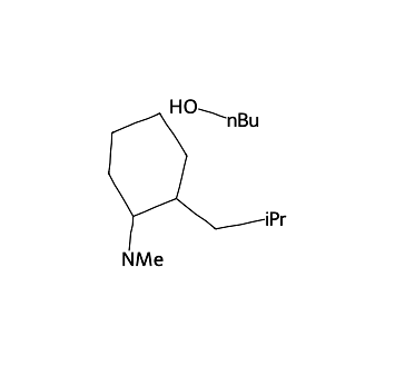 CCCCO.CNC1CCCCC1CC(C)C